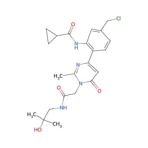 Cc1nc(-c2ccc(CCl)cc2NC(=O)C2CC2)cc(=O)n1CC(=O)NCC(C)(C)O